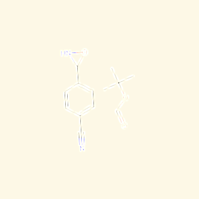 CC(C)(C)OC=O.N#Cc1ccc(C2NO2)cc1